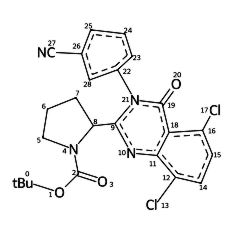 CC(C)(C)OC(=O)N1CCCC1c1nc2c(Cl)ccc(Cl)c2c(=O)n1-c1cccc(C#N)c1